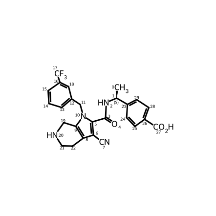 C[C@H](NC(=O)c1c(C#N)c2c(n1Cc1cccc(C(F)(F)F)c1)CNCC2)c1ccc(C(=O)O)cc1